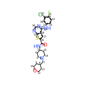 O=C(NC1CCN(CC2CCOCC2)CC1)c1cc2c(Nc3ccc(F)c(Cl)c3)ncnc2s1